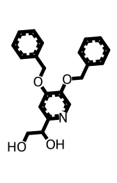 OCC(O)c1cc(OCc2ccccc2)c(OCc2ccccc2)cn1